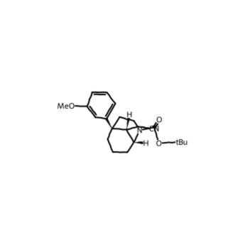 COc1cccc([C@]23CCC[C@H]([C@H]2CC#N)N(C(=O)OC(C)(C)C)CC3)c1